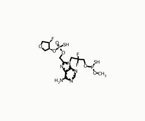 COP(S)OCC(F)(F)Cn1c(COP(=O)(S)O[C@H]2COC[C@H]2F)nc2c(N)ncnc21